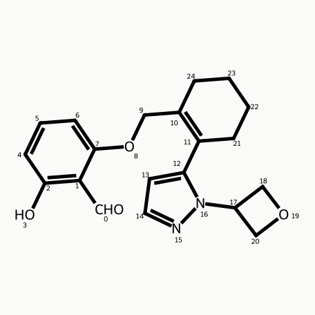 O=Cc1c(O)cccc1OCC1=C(c2ccnn2C2COC2)CCCC1